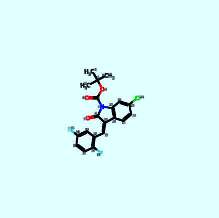 CC(C)(C)OC(=O)N1C(=O)C(=Cc2cc(F)ccc2F)c2ccc(Cl)cc21